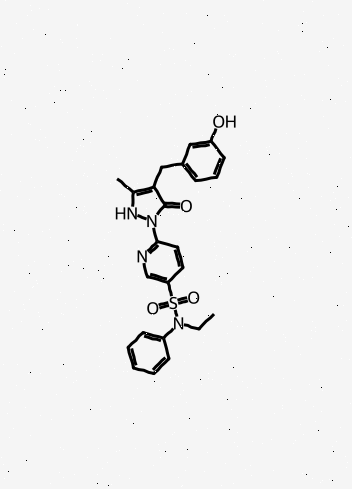 CCN(c1ccccc1)S(=O)(=O)c1ccc(-n2[nH]c(C)c(Cc3cccc(O)c3)c2=O)nc1